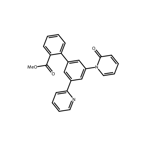 COC(=O)c1ccccc1-c1cc(-c2ccccn2)cc(-n2ccccc2=O)c1